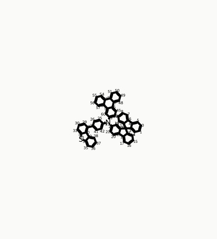 c1ccc2c(c1)-c1ccccc1C21c2ccccc2-c2ccc(N(c3ccc(-c4cccc5sc6ccccc6c45)cc3)c3ccc4c5ccccc5c5ccccc5c4c3)cc21